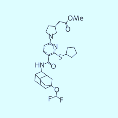 COC(=O)C[C@@H]1CCN(c2ccc(C(=O)NC3C4CC5CC3CC(OC(F)F)(C5)C4)c(SC3CCCC3)n2)C1